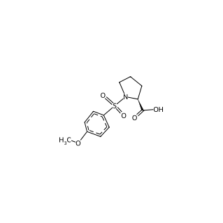 COc1ccc(S(=O)(=O)N2CCC[C@H]2C(=O)O)cc1